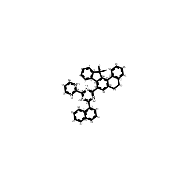 CC1(C)c2ccccc2-c2c(-c3nc(-c4ncccn4)nc(-c4cccc5ccccc45)n3)cc3c(c21)-c1ccccc1CC3